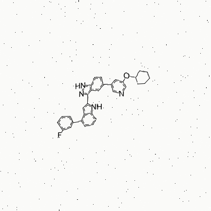 Fc1cccc(-c2cccc3[nH]c(-c4n[nH]c5ccc(-c6cncc(OC7CCCCC7)c6)cc45)cc23)c1